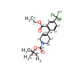 CCOC(=O)c1cc(C(F)(F)F)ccc1C1=CCN(C(=O)OC(C)(C)C)CC1